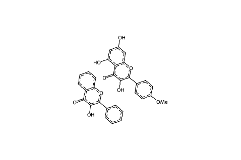 COc1ccc(-c2oc3cc(O)cc(O)c3c(=O)c2O)cc1.O=c1c(O)c(-c2ccccc2)oc2ccccc12